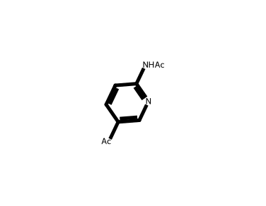 [CH2]C(=O)c1ccc(NC(C)=O)nc1